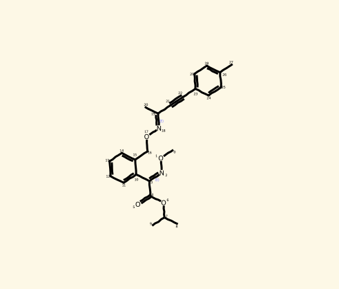 CO/N=C(/C(=O)OC(C)C)c1ccccc1CO/N=C(\C)C#Cc1ccc(C)cc1